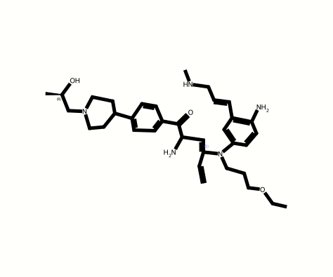 C=C/C(=C\C(N)C(=O)c1ccc(C2CCN(C[C@@H](C)O)CC2)cc1)N(CCCOCC)c1ccc(N)c(C=CCNC)c1